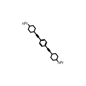 CCCC1CCC(C#Cc2ccc(C#CC3CCC(CCC)CC3)cc2)CC1